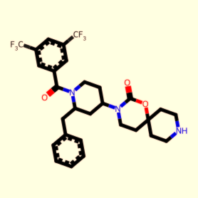 O=C1OC2(CCNCC2)CCN1C1CCN(C(=O)c2cc(C(F)(F)F)cc(C(F)(F)F)c2)C(Cc2ccccc2)C1